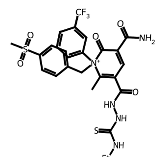 CCNC(=S)NNC(=O)C1=C(C)[N+](Cc2ccc(S(C)(=O)=O)cc2)(c2cccc(C(F)(F)F)c2)C(=O)C(C(N)=O)=C1